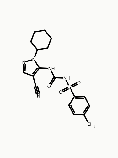 Cc1ccc(S(=O)(=O)NC(=O)Nc2c(C#N)cnn2C2CCCCC2)cc1